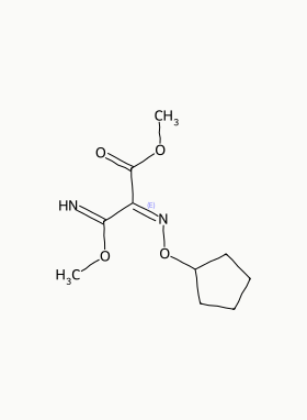 COC(=N)/C(=N\OC1CCCC1)C(=O)OC